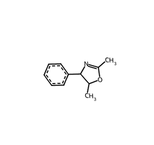 CC1=NC(c2ccccc2)C(C)O1